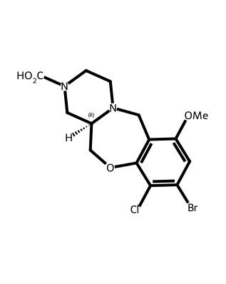 COc1cc(Br)c(Cl)c2c1CN1CCN(C(=O)O)C[C@@H]1CO2